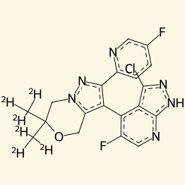 [2H]C([2H])([2H])C1(C([2H])([2H])[2H])Cn2nc(-c3ccc(F)cn3)c(-c3c(F)cnc4[nH]nc(Cl)c34)c2CO1